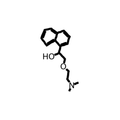 CN(C)CCOCC(O)c1cccc2ccccc12